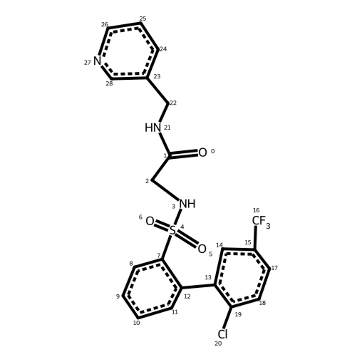 O=C(CNS(=O)(=O)c1ccccc1-c1cc(C(F)(F)F)ccc1Cl)NCc1cccnc1